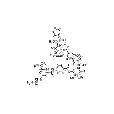 CC[C@H](C)[C@@H]([C@@H](CC(=O)N1CCC[C@H]1[C@H](OC)[C@@H](C)C(=O)N[C@H](C)[C@@H](O)c1ccccc1)OC)N(C)C(=O)[C@@H](NC(=O)[C@H](C(C)C)N(C)C(=O)OCc1ccc(NC(=O)[C@H](CCCNC(N)=O)NC(=O)[C@@H](C)C(C)C)cc1)C(C)C